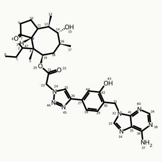 CCC(C)[C@]1(C)[C@@H]2C(=O)CCC2[C@@H](C)[C@H](O)[C@@H](C)C[C@H]1OC(=O)Cn1cc(-c2ccc(Cn3cnc4c(N)ncnc43)c(O)c2)nn1